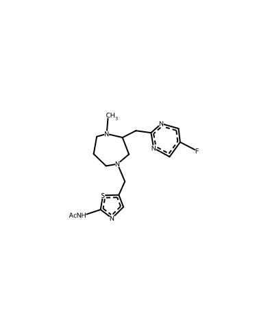 CC(=O)Nc1ncc(CN2CCCN(C)C(Cc3ncc(F)cn3)C2)s1